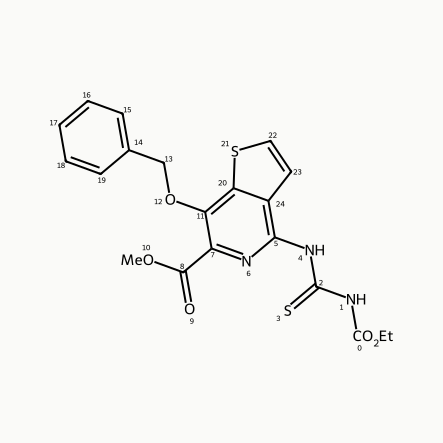 CCOC(=O)NC(=S)Nc1nc(C(=O)OC)c(OCc2ccccc2)c2sccc12